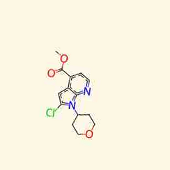 COC(=O)c1ccnc2c1cc(Cl)n2C1CCOCC1